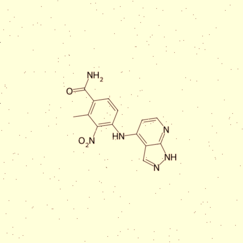 Cc1c(C(N)=O)ccc(Nc2ccnc3[nH]ncc23)c1[N+](=O)[O-]